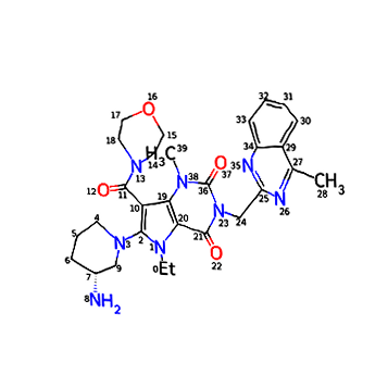 CCn1c(N2CCC[C@@H](N)C2)c(C(=O)N2CCOCC2)c2c1c(=O)n(Cc1nc(C)c3ccccc3n1)c(=O)n2C